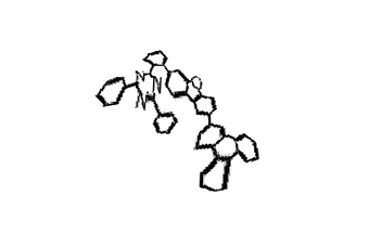 c1ccc(-c2nc(-c3ccccc3)nc(-c3ccccc3-c3ccc4c(c3)oc3ccc(-c5ccc6c7ccccc7c7ccccc7c6c5)cc34)n2)cc1